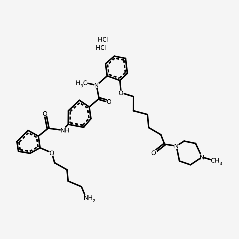 CN1CCN(C(=O)CCCCCOc2ccccc2N(C)C(=O)c2ccc(NC(=O)c3ccccc3OCCCCN)cc2)CC1.Cl.Cl